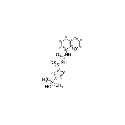 CC(C)(O)c1coc([S+]([O-])NC(=O)NC2=CCCC3=C2OCCO3)c1